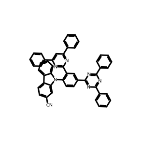 N#Cc1ccc2c3ccccc3n(-c3ccc(-c4nc(-c5ccccc5)nc(-c5ccccc5)n4)cc3-c3nc(-c4ccccc4)cc(-c4ccccc4)n3)c2c1